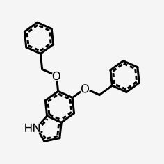 c1ccc(COc2cc3cc[nH]c3cc2OCc2ccccc2)cc1